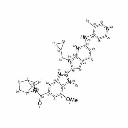 COc1cc(C(=O)N2CC3CCC2[C@@H]3C)cc2nc(-c3cc4ccc(Nc5ccncc5C)nc4n3CC3CC3)n(C)c12